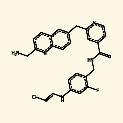 NCc1ccc2cc(Cc3cc(C(=O)NCc4ccc(N/C=C/Cl)cc4F)ccn3)ccc2n1